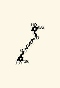 Cc1cc(O)c(C(C)(C)C)cc1CCC(=O)OCCOCCOCCOC(=O)CCc1cc(C)c(O)c(C(C)(C)C)c1